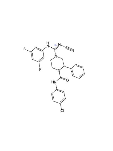 N#C/N=C(/Nc1cc(F)cc(F)c1)N1CCN(C(=O)Nc2ccc(Cl)cc2)C(c2ccccc2)C1